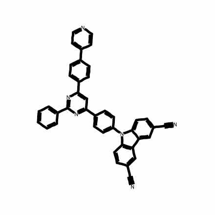 N#Cc1ccc2c(c1)c1cc(C#N)ccc1n2-c1ccc(-c2cc(-c3ccc(-c4ccncc4)cc3)nc(-c3ccccc3)n2)cc1